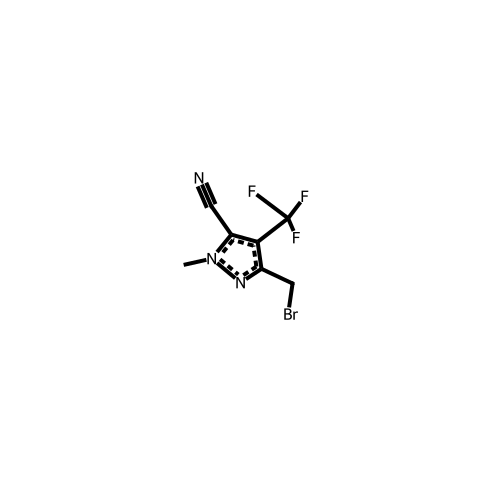 Cn1nc(CBr)c(C(F)(F)F)c1C#N